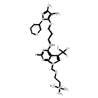 Cc1nn(C2CCCOC2)c(OCCCNc2nc(Cl)nc3c2c(C(F)(F)F)cn3COCC[Si](C)(C)C)c1N